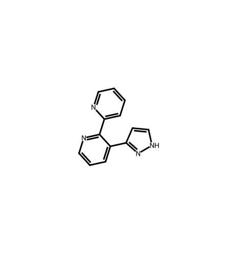 c1ccc(-c2ncccc2-c2cc[nH]n2)nc1